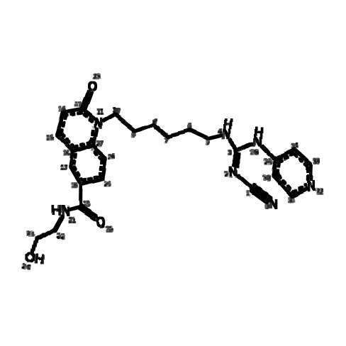 N#CN=C(NCCCCCCn1c(=O)ccc2cc(C(=O)NCCO)ccc21)Nc1ccncc1